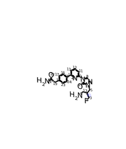 NC/C(=C\F)Cn1ncn(-c2cccc(-c3ccc(CC(N)=O)cc3)n2)c1=O